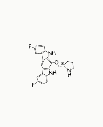 Fc1ccc2[nH]c3c(OC[C@@H]4CCCN4)c4[nH]c5ccc(F)cc5c4cc3c2c1